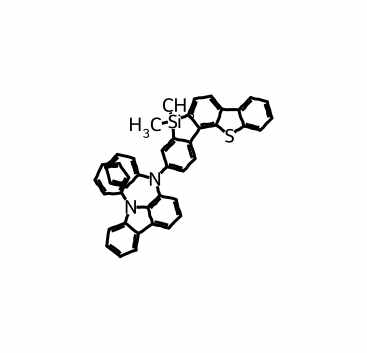 C[Si]1(C)c2cc(N(c3ccccc3)c3cccc4c5ccccc5n(-c5ccccc5)c34)ccc2-c2c1ccc1c2sc2ccccc21